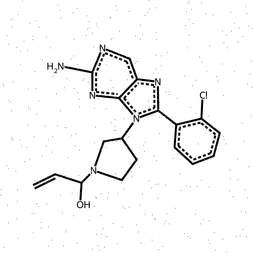 C=CC(O)N1CCC(n2c(-c3ccccc3Cl)nc3cnc(N)nc32)C1